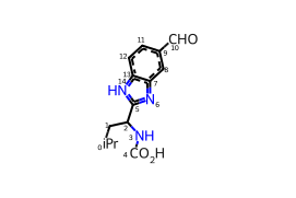 CC(C)CC(NC(=O)O)c1nc2cc(C=O)ccc2[nH]1